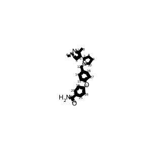 Cc1nn(C)cc1[C@@H]1CCCN1Cc1ccc(Oc2ccc(C(N)=O)cc2)cc1